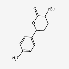 CCCCC1CCC(c2ccc(C)cc2)OC1=O